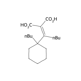 CCCCC(=C(C(=O)O)C(=O)O)C1(CCCC)CCCCC1